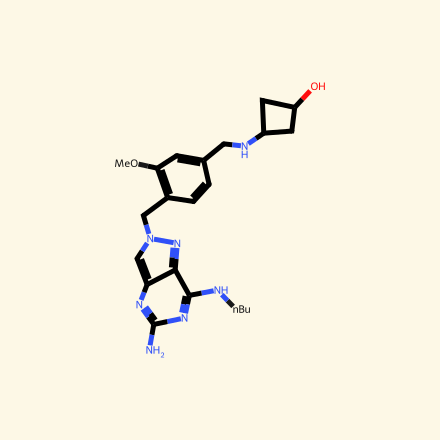 CCCCNc1nc(N)nc2cn(Cc3ccc(CNC4CC(O)C4)cc3OC)nc12